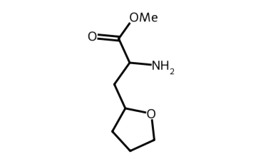 COC(=O)C(N)CC1CCCO1